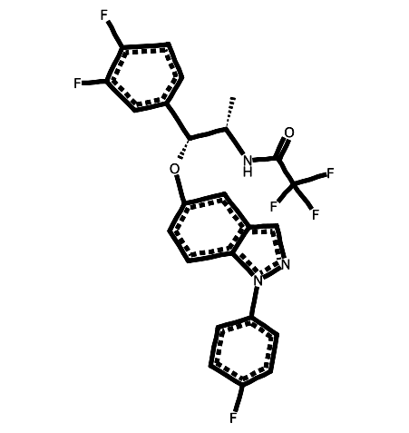 C[C@H](NC(=O)C(F)(F)F)[C@H](Oc1ccc2c(cnn2-c2ccc(F)cc2)c1)c1ccc(F)c(F)c1